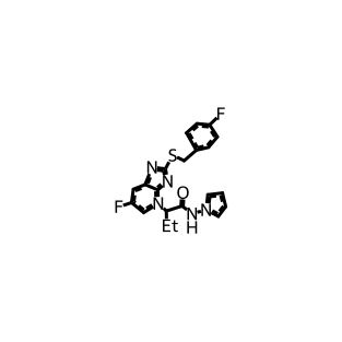 CCC(C(=O)Nn1cccc1)n1cc(F)cc2nc(SCc3ccc(F)cc3)nc1-2